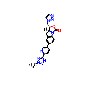 Cn1nnc(-c2ccc(-c3ccc4c(c3)C[C@H]3[C@H](Cn5ccnn5)OC(=O)N43)cn2)n1